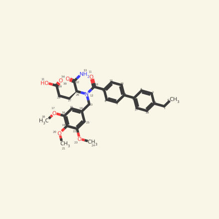 CCc1ccc(-c2ccc(C(=O)N(Cc3cc(OC)c(OC)c(OC)c3)[C@@H](CCC(=O)O)C(N)=O)cc2)cc1